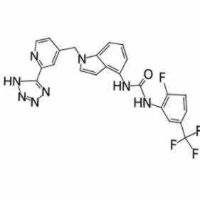 O=C(Nc1cc(C(F)(F)F)ccc1F)Nc1cccc2c1ccn2Cc1ccnc(-c2nnn[nH]2)c1